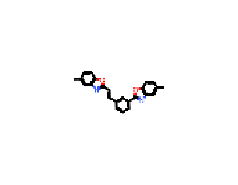 Cc1ccc2oc(C=Cc3cccc(-c4nc5cc(C)ccc5o4)c3)nc2c1